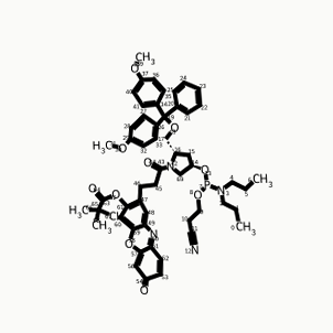 CCCN(CCC)P(OCCC#N)O[C@@H]1C[C@@H](COC(c2ccccc2)(c2ccc(OC)cc2)c2ccc(OC)cc2)N(C(=O)CCc2cc3nc4ccc(=O)cc-4oc3cc2OC(=O)C(C)(C)C)C1